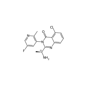 Cc1ncc(F)cc1-n1c([C@H](C)N)nc2cccc(Cl)c2c1=O